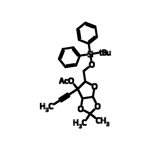 CC#CC1(OC(C)=O)C(CO[Si](c2ccccc2)(c2ccccc2)C(C)(C)C)OC2OC(C)(C)OC21